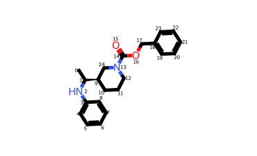 CC(Nc1ccccc1)[C@@H]1CCCN(C(=O)OCc2ccccc2)C1